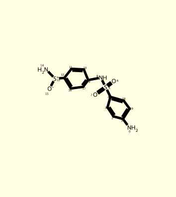 Nc1ccc(S(=O)(=O)Nc2ccc([S+](N)[O-])cc2)cc1